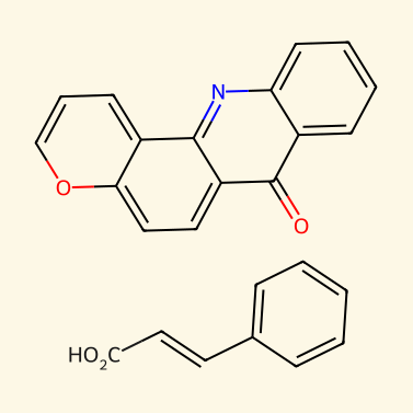 O=C(O)/C=C/c1ccccc1.O=c1c2ccccc2nc2c1ccc1occcc12